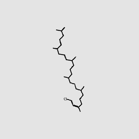 CC(=CCCl)CCCC(C)CCCC(C)CCCC(C)CCCC(C)CCCC(C)C